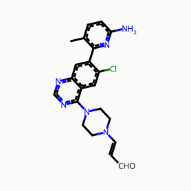 Cc1ccc(N)nc1-c1cc2ncnc(N3CCN(C=CC=O)CC3)c2cc1Cl